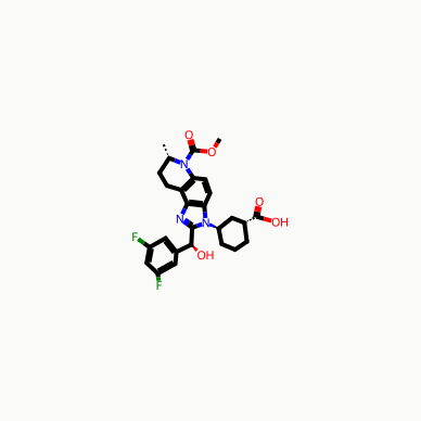 COC(=O)N1c2ccc3c(nc([C@@H](O)c4cc(F)cc(F)c4)n3[C@@H]3CCC[C@@H](C(=O)O)C3)c2CC[C@@H]1C